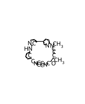 CC1CCCN(C)c2ccc(cn2)-c2ccnc(c2)Nc2cccc(c2)CN2CCN(CC2)CC1=O